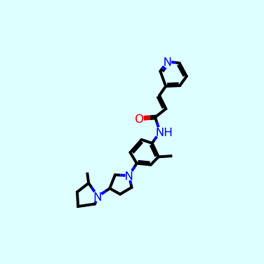 Cc1cc(N2CCC(N3CCCC3C)C2)ccc1NC(=O)C=Cc1cccnc1